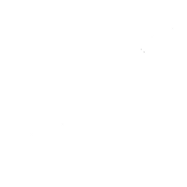 CC(OS(C)(=O)=O)c1ccc(OCC2CCN(S(C)(=O)=O)CC2)c(S(C)(=O)=O)c1